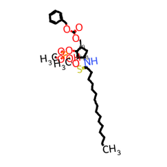 CCCCCCCCCCCCCCCC(=S)N[C@@H]1C[C@H](COC(=O)OCc2ccccc2)C(OP(=O)(O)OC)[C@@H]1OC